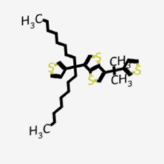 CCCCCCCCC(CCCCCCCC)(c1ccsc1)c1csc2c(C(C)(C)c3ccsc3)csc12